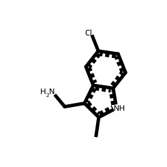 Cc1[nH]c2ccc(Cl)cc2c1CN